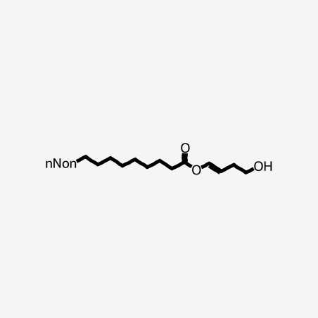 CCCCCCCCCCCCCCCCCC(=O)O/C=C/CCO